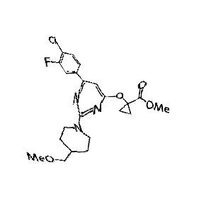 COCC1CCN(c2nc(OC3(C(=O)OC)CC3)cc(-c3ccc(Cl)c(F)c3)n2)CC1